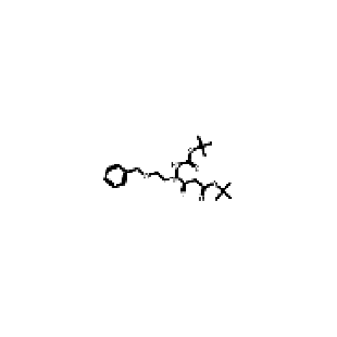 CC(C)(C)OC(=O)CC(=O)[C@@H](CCOCc1ccccc1)NC(=O)OC(C)(C)C